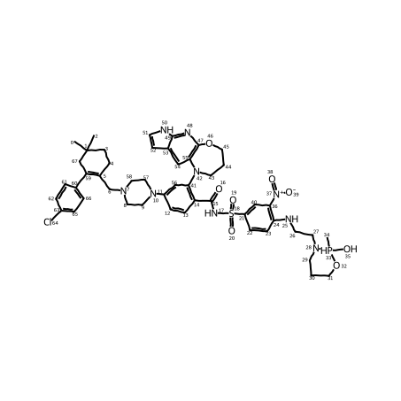 CC1(C)CCC(CN2CCN(c3ccc(C(=O)NS(=O)(=O)c4ccc(NCCN5CCCO[PH]5(C)O)c([N+](=O)[O-])c4)c(N4CCCOc5nc6[nH]ccc6cc54)c3)CC2)=C(c2ccc(Cl)cc2)C1